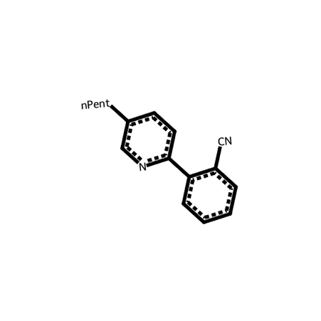 CCCCCc1ccc(-c2ccccc2C#N)nc1